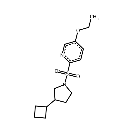 CCOc1ccc(S(=O)(=O)N2CCC(C3CCC3)C2)nc1